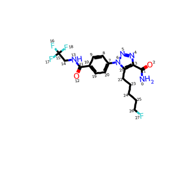 NC(=O)c1nnn(-c2ccc(C(=O)NCC(F)(F)F)cc2)c1CCCCCF